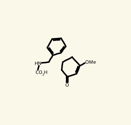 COC1=CC(=O)CCC1.O=C(O)NCc1ccccc1